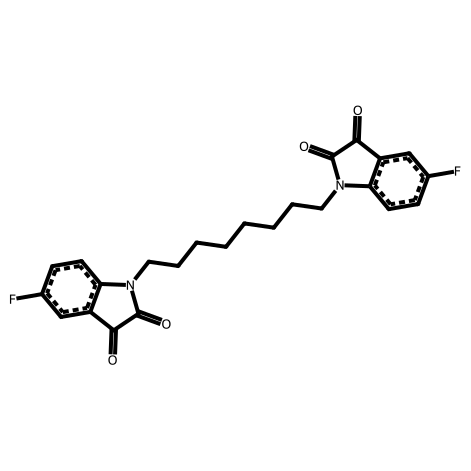 O=C1C(=O)N(CCCCCCCCN2C(=O)C(=O)c3cc(F)ccc32)c2ccc(F)cc21